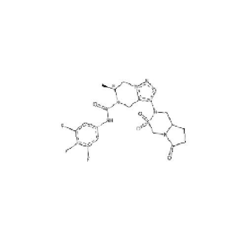 C[C@H]1Cn2ncc(N3CC4CCC(=O)N4CS3(=O)=O)c2CN1C(=O)Nc1cc(F)c(F)c(F)c1